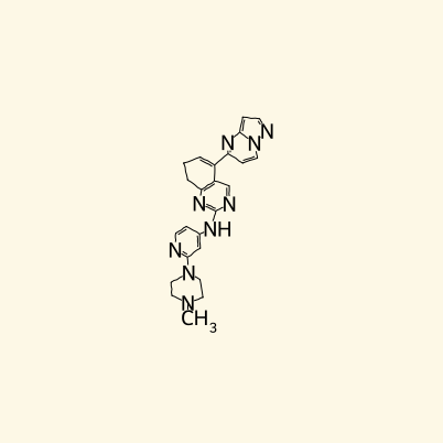 CN1CCN(c2cc(Nc3ncc4c(n3)CCC=C4c3ccn4nccc4n3)ccn2)CC1